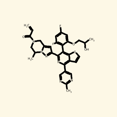 C=CC(=O)N1Cc2cc(-c3nc(-c4cnc(C)nc4)c4ccsc4c3-c3c(F)cc(F)cc3OCC(C)O)nn2C(C)C1